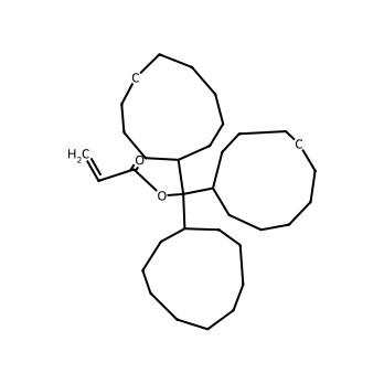 C=CC(=O)OC(C1CCCCCCCCC1)(C1CCCCCCCCC1)C1CCCCCCCCC1